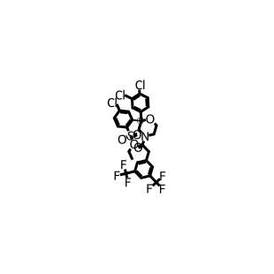 CCOS(=O)(=O)c1ccc(Cl)cc1[C@]1(c2ccc(Cl)c(Cl)c2)CN(C(=O)Cc2cc(C(F)(F)F)cc(C(F)(F)F)c2)CCO1